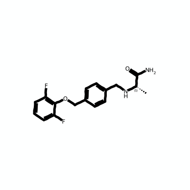 C[C@H](NCc1ccc(COc2c(F)cccc2F)cc1)C(N)=O